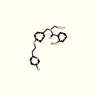 CCc1ccc(CCOc2ccc(CN(CC(=O)O)C(=O)c3ccccc3OC)cc2)nc1